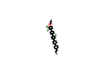 C=CCOc1ccc(-c2ccc(-c3ccc(C4=CCC(C5CCC(/C=C/C)CC5)CC4)cc3F)cc2)c(F)c1F